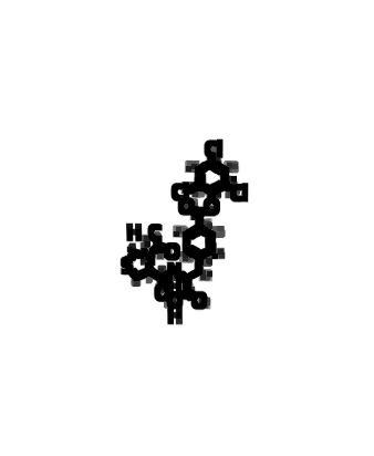 CC(=O)N1CSCC1C(=O)N[C@@H](Cc1ccc(C(=O)Oc2c(Cl)cc(Cl)cc2Cl)cc1)C(=O)O